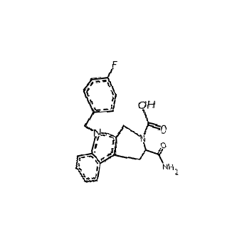 NC(=O)C1Cc2c(n(Cc3ccc(F)cc3)c3ccccc23)CN1C(=O)O